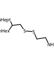 CCCCCCCC(CCCCCC)CSSCCN